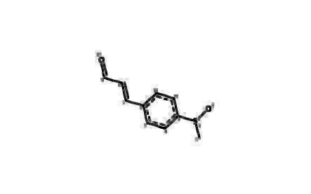 C[S+]([O-])c1ccc(C=CC=O)cc1